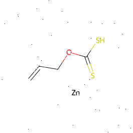 C=CCOC(=S)S.[Zn]